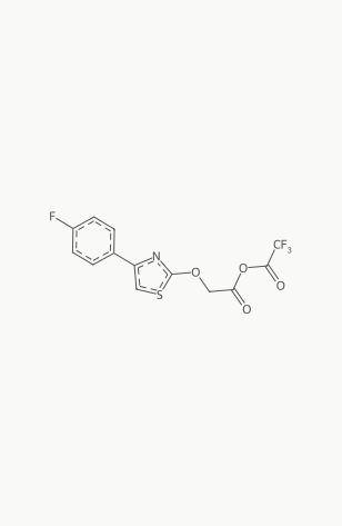 O=C(COc1nc(-c2ccc(F)cc2)cs1)OC(=O)C(F)(F)F